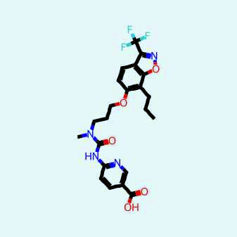 CCCc1c(OCCCN(C)C(=O)Nc2ccc(C(=O)O)cn2)ccc2c(C(F)(F)F)noc12